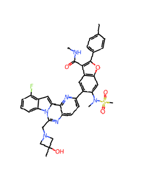 CNC(=O)c1c(-c2ccc(C)cc2)oc2cc(N(C)S(C)(=O)=O)c(-c3ccc4nc(CN5CC(C)(O)C5)n5c6cccc(F)c6cc5c4n3)cc12